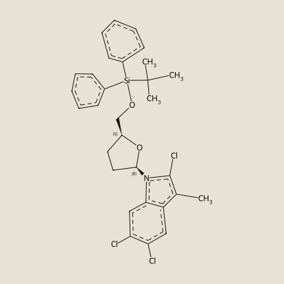 Cc1c(Cl)n([C@H]2CC[C@@H](CO[Si](c3ccccc3)(c3ccccc3)C(C)(C)C)O2)c2cc(Cl)c(Cl)cc12